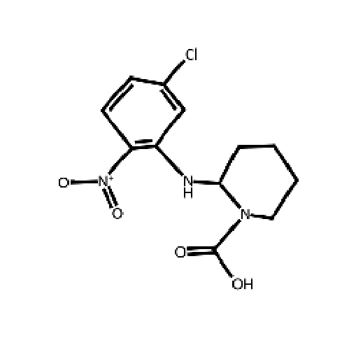 O=C(O)N1CCCCC1Nc1cc(Cl)ccc1[N+](=O)[O-]